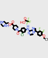 N#CCOc1ccc(-c2cnc3c(Nc4ccc(C(=O)N5CCC(C(=O)OCC6CNCCN6)CC5)c(Cl)c4)nccn23)c(F)c1F.O=C(O)C(F)(F)F